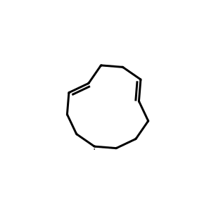 [CH]1CC/C=C/CC/C=C/CCC1